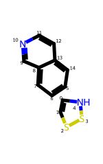 C1=CSSN1.c1ccc2cnccc2c1